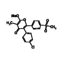 COc1oc(-c2ccc(S(C)(=O)=O)cc2)c(-c2ccc(Cl)cc2)c(=O)c1C